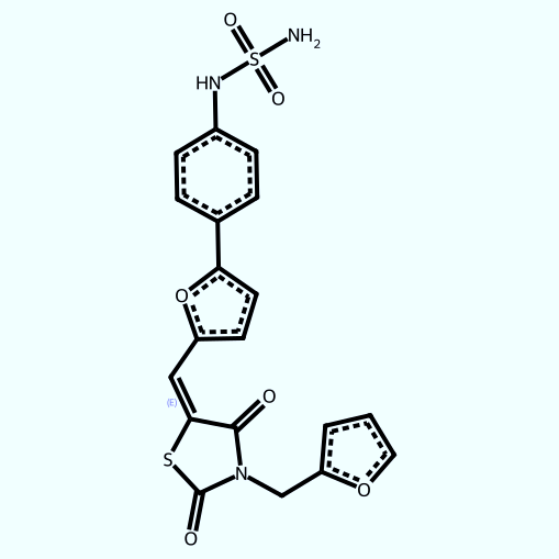 NS(=O)(=O)Nc1ccc(-c2ccc(/C=C3/SC(=O)N(Cc4ccco4)C3=O)o2)cc1